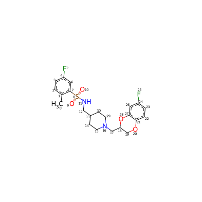 Cc1ccc(F)cc1S(=O)(=O)NCC1CCN(CC2COc3ccc(F)cc3O2)CC1